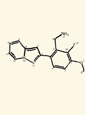 COc1ccc(-c2cc3ccccn3n2)c(CN)c1F